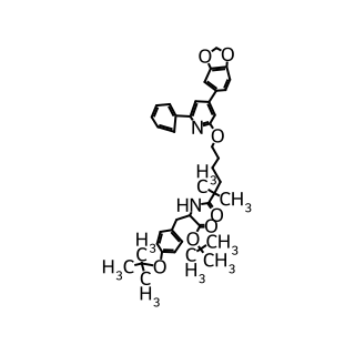 CC(C)(C)OC(=O)C(Cc1ccc(OC(C)(C)C)cc1)NC(=O)C(C)(C)CCCCOc1cc(-c2ccc3c(c2)OCO3)cc(-c2ccccc2)n1